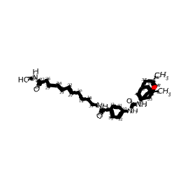 C[C@]12CC3CC(NC(=O)Nc4ccc(C(=O)NCCCCCCCCCCC(=O)NO)cc4)(C1)C[C@@](C)(C3)C2